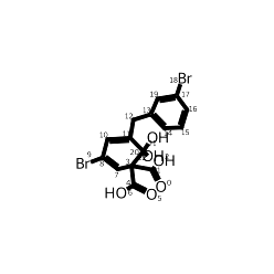 O=C(O)C1(C(=O)O)C=C(Br)C=C(Cc2cccc(Br)c2)C1(O)O